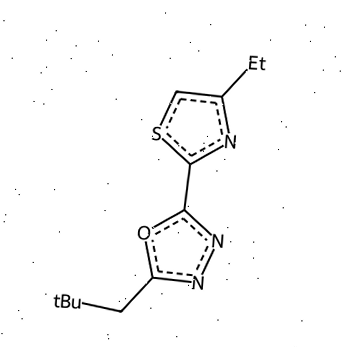 CCc1csc(-c2nnc(CC(C)(C)C)o2)n1